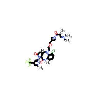 C=C(CN(C)C)C(=O)N1CC(COCCN2C[C@H]3CC(=O)N(c4cc(C(F)(F)F)cc(C)n4)[C@@H]3C(=O)N(C)c3cccc(Cl)c32)C1